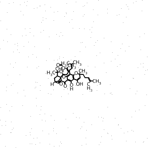 CC(C)=CCC[C@]1(C)C=C(O)c2c(O)c3c(c(CC=C(C)C)c2O1)O[C@]12C(=C[C@@H]4CC1C(C)(C)OC2(C/C=C(/C)OC=O)C4=O)C3=O